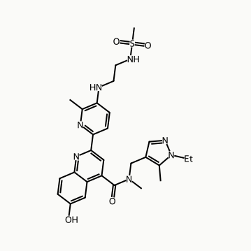 CCn1ncc(CN(C)C(=O)c2cc(-c3ccc(NCCNS(C)(=O)=O)c(C)n3)nc3ccc(O)cc23)c1C